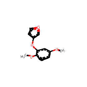 COc1ccc(OC)c(Oc2c[c]oc2)c1